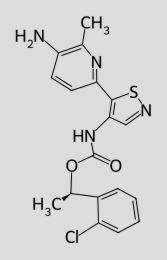 Cc1nc(-c2sncc2NC(=O)O[C@H](C)c2ccccc2Cl)ccc1N